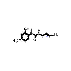 C/C=C/CNC(=S)Nc1ccc(C)cc1C